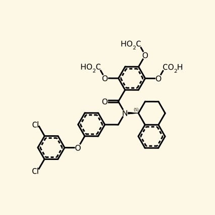 O=C(O)Oc1cc(OC(=O)O)c(C(=O)N(Cc2cccc(Oc3cc(Cl)cc(Cl)c3)c2)[C@H]2CCCc3ccccc32)cc1OC(=O)O